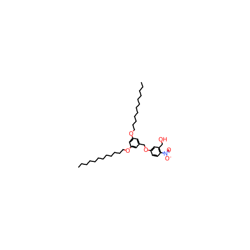 CCCCCCCCCCCCOc1cc(COc2ccc([N+](=O)[O-])c(CO)c2)cc(OCCCCCCCCCCCC)c1